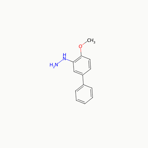 COc1ccc(-c2ccccc2)cc1NN